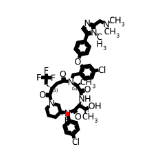 C[C@@H](O)[C@@H]1NC(=O)[C@H](C)N(Cc2ccc(Cl)cc2Oc2ccc(-c3cnc(CN(C)C)n3C)cc2)C(=O)C[C@@H](CC(F)(F)F)C(=O)N2CCC[C@@](Cc3ccc(Cl)cc3)(C2)NC1=O